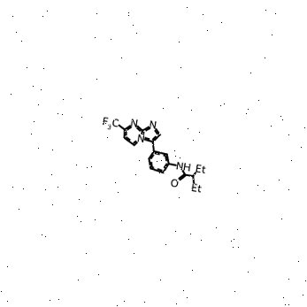 CCC(CC)C(=O)Nc1cccc(-c2cnc3nc(C(F)(F)F)ccn23)c1